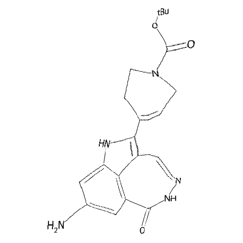 CC(C)(C)OC(=O)N1CC=C(c2[nH]c3cc(N)cc4c3c2C=NNC4=O)CC1